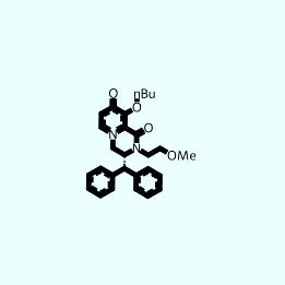 CCCCOc1c2n(ccc1=O)C[C@@H](C(c1ccccc1)c1ccccc1)N(CCOC)C2=O